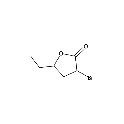 CCC1CC(Br)C(=O)O1